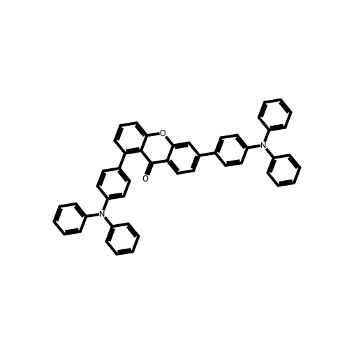 O=c1c2ccc(-c3ccc(N(c4ccccc4)c4ccccc4)cc3)cc2oc2cccc(-c3ccc(N(c4ccccc4)c4ccccc4)cc3)c12